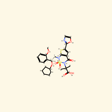 COc1ccccc1[C@H](CN1c2sc(-c3ncco3)cc2C(=O)N(C(C)(C)C(=O)O)S1(=O)=O)OC1CCCCC1